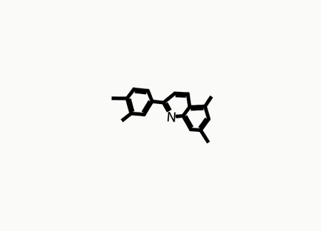 Cc1cc(C)c2ccc(-c3ccc(C)c(C)c3)nc2c1